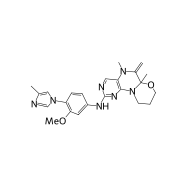 C=C1N(C)c2cnc(Nc3ccc(-n4cnc(C)c4)c(OC)c3)nc2N2CCCOC12C